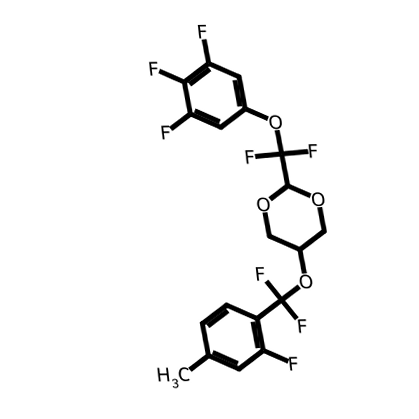 Cc1ccc(C(F)(F)OC2COC(C(F)(F)Oc3cc(F)c(F)c(F)c3)OC2)c(F)c1